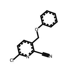 N#Cc1nc(Cl)ccc1COc1ccccc1